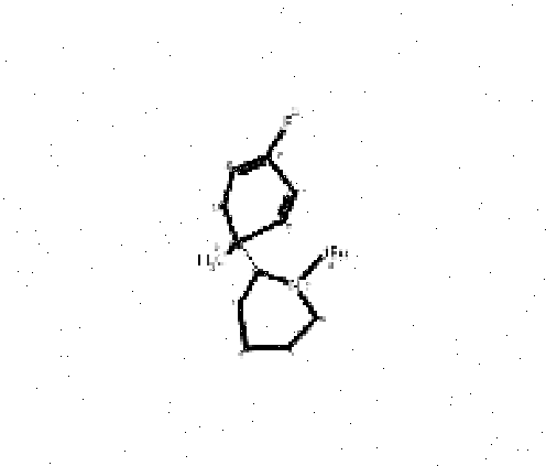 CC1([C@H]2CCCCN2C(C)(C)C)C=CC(F)=CC1